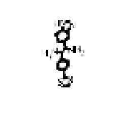 NC(c1ccc(-c2nccs2)cc1)C(N)c1ccc2[nH]cnc2c1